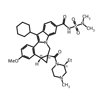 CC[C@H]1CN(C)CCN1C(=O)[C@@]12C[C@@H]1c1cc(OC)ccc1-c1c(C3CCCCC3)c3ccc(C(=O)NS(=O)(=O)N(C)C)cc3n1C2